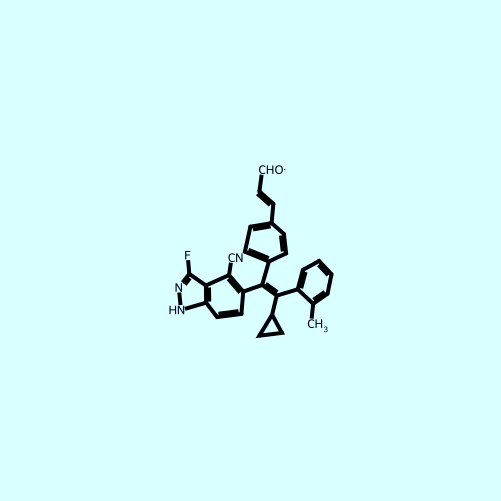 Cc1ccccc1/C(=C(\c1ccc(/C=C/[C]=O)cc1)c1ccc2[nH]nc(F)c2c1C#N)C1CC1